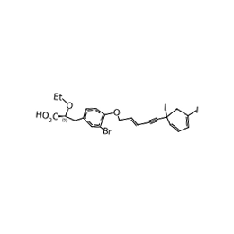 CCO[C@@H](Cc1ccc(OCC=CC#CC2(I)C=CC=C(I)C2)c(Br)c1)C(=O)O